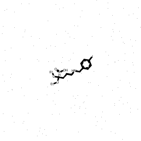 CCOC(CCCNCc1ccc(I)cc1)(OCC)[PH](=O)O